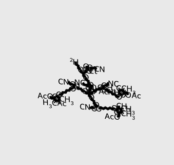 [2H]CCCOCC(COCCCOP(=O)(OCCC#N)OCC(COCCCOP(OCCCCCCO[C@@H]1OC(COC(C)=O)[C@H](C)[C@H](C)C1C)OCC[N+]#[C-])(COCCCOP(OCCCCCCO[C@@H]1OC(COC(C)=O)[C@H](C)[C@H](C)C1NC(C)=O)OCC[N+]#[C-])COCCCOP(OCCCCCCO[C@@H]1OC(COC(C)=O)[C@H](C)[C@H](C(C)=O)C1C)OCC[N+]#[C-])COP(=O)(OCC)OCCC#N